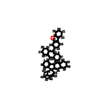 c1cc(-c2c3ccccc3c(-c3ccc4c(c3)oc3ccccc34)c3ccccc23)c2c(c1)C1(c3cc4ccccc4cc3-2)C2CC3CC(C2)CC1C3